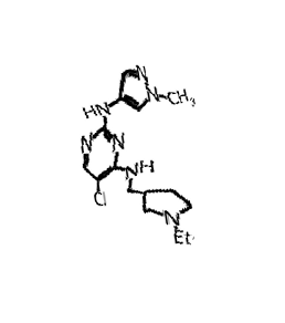 [CH2][CH]N1CC[C@H](CNc2nc(Nc3cnn(C)c3)ncc2Cl)C1